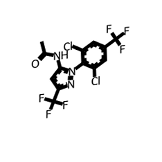 CC(=O)Nc1cc(C(F)(F)F)nn1-c1c(Cl)cc(C(F)(F)F)cc1Cl